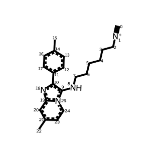 C#[N+]CCCCCCNc1c(-c2ccc(C)cc2)nc2cc(C)ccn12